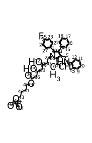 CC(C)c1c(CNc2ccccc2)c(-c2ccccc2)c(-c2ccc(F)cc2)n1CC[C@@H](O)CC(O)CC(=O)OCCCCO[N+](=O)[O-]